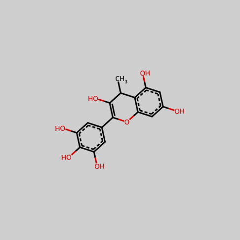 CC1C(O)=C(c2cc(O)c(O)c(O)c2)Oc2cc(O)cc(O)c21